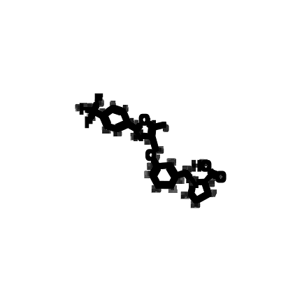 Cc1oc(-c2ccc(C(F)(F)F)cc2)nc1COc1cccc(CN2CCC[C@@H]2C(=O)O)c1